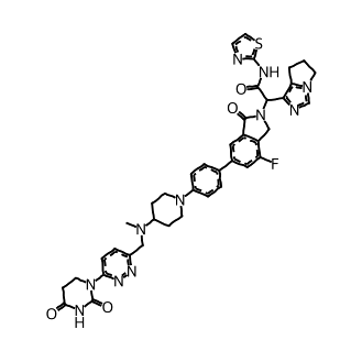 CN(Cc1ccc(N2CCC(=O)NC2=O)nn1)C1CCN(c2ccc(-c3cc(F)c4c(c3)C(=O)N(C(C(=O)Nc3nccs3)c3ncn5c3CCC5)C4)cc2)CC1